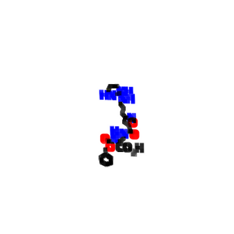 O=C(NC(CNC(=O)C1CC(CCCNC2NC=CCN2)=NO1)C(=O)O)OCc1ccccc1